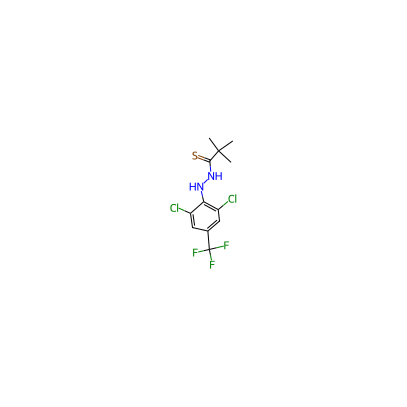 CC(C)(C)C(=S)NNc1c(Cl)cc(C(F)(F)F)cc1Cl